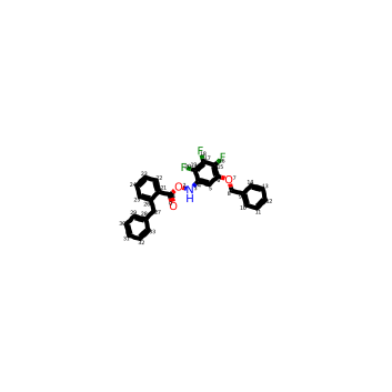 O=C(ONc1cc(OCc2ccccc2)c(F)c(F)c1F)c1ccccc1Cc1ccccc1